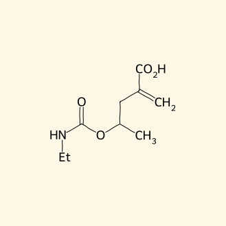 C=C(CC(C)OC(=O)NCC)C(=O)O